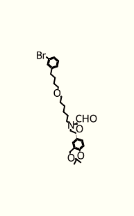 CC1(C)OCc2cc([C@@H]3CN(CCCCCCOCCCCc4cccc(Br)c4)C(C=O)O3)ccc2O1